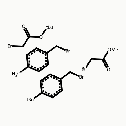 CC(C)(C)OC(=O)CBr.CC(C)(C)c1ccc(CBr)cc1.COC(=O)CBr.Cc1ccc(CBr)cc1